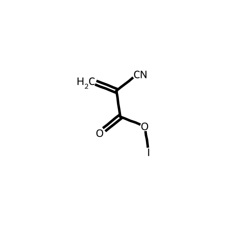 C=C(C#N)C(=O)OI